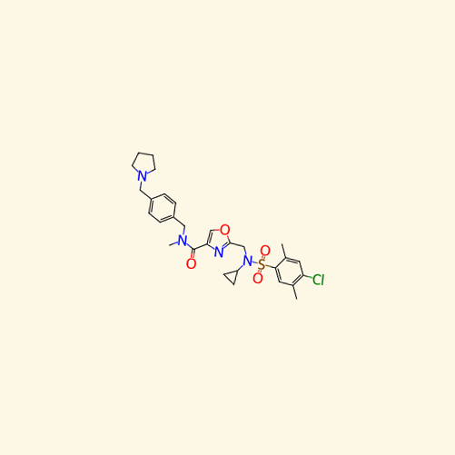 Cc1cc(S(=O)(=O)N(Cc2nc(C(=O)N(C)Cc3ccc(CN4CCCC4)cc3)co2)C2CC2)c(C)cc1Cl